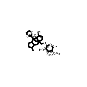 CO[C@H]1[C@@H](SC)[C@H](O)[C@H](OCC23CC4C(C)CCC4C4(C5OCCO5)CC2C=C(C(C)C)C34C(=O)O)O[C@@H]1C